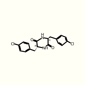 O=C1N[C@H](Cc2ccc(Cl)cc2)C(=O)N[C@H]1Cc1ccc(Cl)cc1